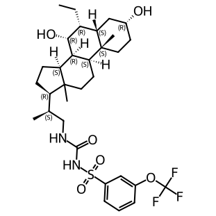 CC[C@H]1[C@@H](O)[C@@H]2[C@@H]3CC[C@H]([C@H](C)CNC(=O)NS(=O)(=O)c4cccc(OC(F)(F)F)c4)C3(C)CC[C@@H]2[C@@]2(C)CC[C@@H](O)C[C@@H]12